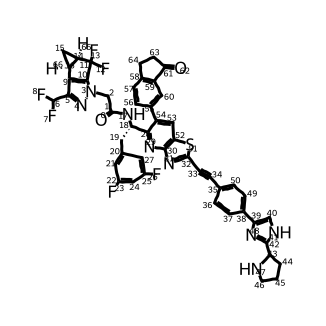 O=C(Cn1nc(C(F)F)c2c1C(F)(F)[C@@H]1C[C@H]21)N[C@@H](Cc1cc(F)cc(F)c1)c1nc2nc(C#Cc3ccc(-c4c[nH]c(C5CCCN5)n4)cc3)sc2cc1-c1ccc2c(c1)C(=O)CC2